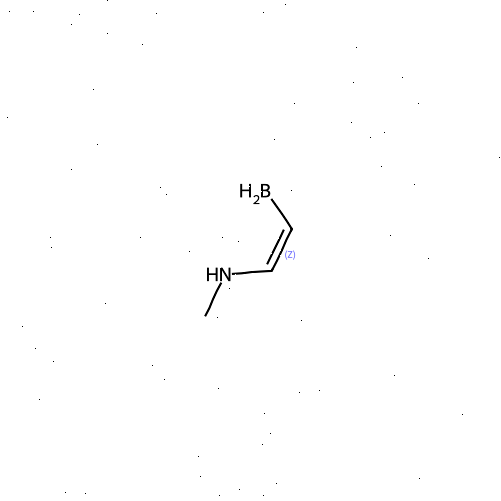 B/C=C\NC